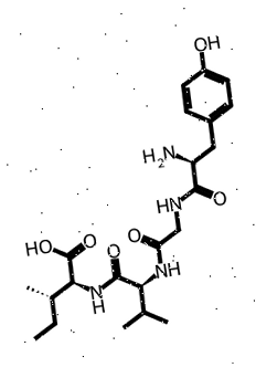 CC[C@H](C)[C@H](NC(=O)[C@@H](NC(=O)CNC(=O)[C@@H](N)Cc1ccc(O)cc1)C(C)C)C(=O)O